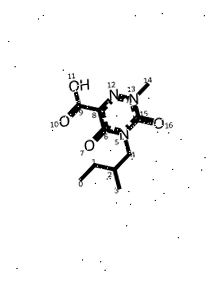 CCC(C)Cn1c(=O)c(C(=O)O)nn(C)c1=O